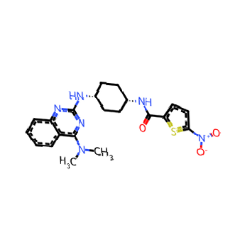 CN(C)c1nc(N[C@H]2CC[C@@H](NC(=O)c3ccc([N+](=O)[O-])s3)CC2)nc2ccccc12